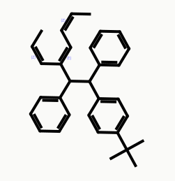 C\C=C/C=C(\C=C/C)C(c1ccccc1)C(c1ccccc1)c1ccc(C(C)(C)C)cc1